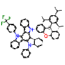 CC(C)c1cc(C(C)C)c(B2c3ccccc3Oc3cc(-n4c5ccccc5c5c4c4c(c6c7ccccc7n(-c7ccc(C(F)(F)F)cc7)c65)N(c5ccccc5)C5C=CC=CC45)ccc32)c(C(C)C)c1